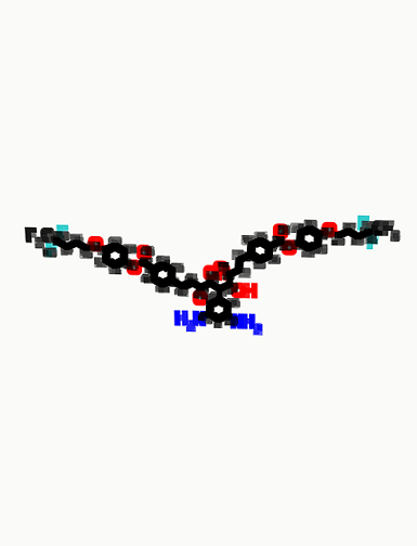 Nc1cc(N)cc(C(C(O)C(=O)/C=C/c2ccc(C(=O)Oc3ccc(OCCCC(F)(F)C(F)(F)F)cc3)cc2)C(O)C(=O)/C=C/c2ccc(C(=O)Oc3ccc(OCCCC(F)(F)C(F)(F)F)cc3)cc2)c1